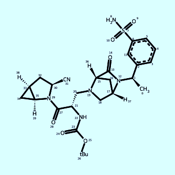 C[C@H](c1cccc(S(N)(=O)=O)c1)N1C(=O)[C@@H]2C[C@H]1CN2C[C@H](NC(=O)OC(C)(C)C)C(=O)N1[C@H](C#N)C[C@@H]2C[C@@H]21